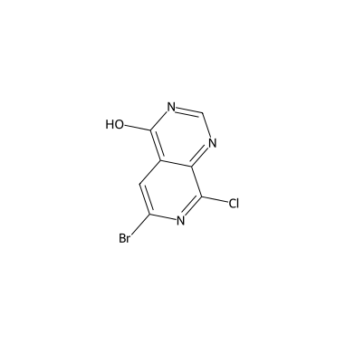 Oc1ncnc2c(Cl)nc(Br)cc12